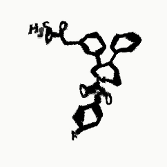 COC(=O)Cc1cccc(C2CN(S(=O)(=O)c3ccc(F)cc3)CCC2c2ccccc2)c1